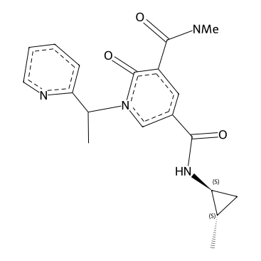 CNC(=O)c1cc(C(=O)N[C@H]2C[C@@H]2C)cn(C(C)c2ccccn2)c1=O